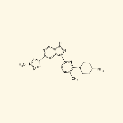 Cc1ccc(-c2n[nH]c3cnc(-c4cnn(C)c4)cc23)nc1N1CCC(N)CC1